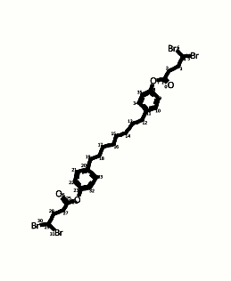 O=C(CCC(Br)Br)Oc1ccc(CCCCCCCCc2ccc(OC(=O)CCC(Br)Br)cc2)cc1